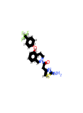 Nc1nc(CC(=O)N2CCc3c(cccc3Oc3ccc(C(F)(F)F)cc3)C2)cs1